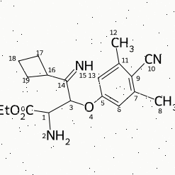 CCOC(=O)C(N)C(Oc1cc(C)c(C#N)c(C)c1)C(=N)C1CCC1